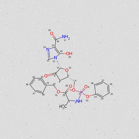 CC(NP(=O)(OC[C@@H]1CC(=O)[C@H](n2cnc(C(N)=O)c2O)O1)Oc1ccccc1)C(=O)OCc1ccccc1